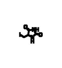 O=C1NC(=O)C(CI)N1